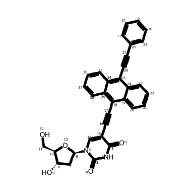 O=c1[nH]c(=O)n([C@H]2C[C@H](O)[C@@H](CO)O2)cc1C#Cc1c2ccccc2c(C#Cc2ccccc2)c2ccccc12